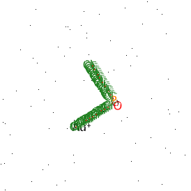 CP1CCOCC1.[Au+].[Cl-].[Cl-].[Cl-].[Cl-].[Cl-].[Cl-].[Cl-].[Cl-].[Cl-].[Cl-].[Cl-].[Cl-].[Cl-].[Cl-].[Cl-].[Cl-].[Cl-].[Cl-].[Cl-].[Cl-].[Cl-].[Cl-].[Cl-].[Cl-].[Cl-].[Cl-].[Cl-].[Cl-].[Cl-].[Cl-].[Cl-].[Cl-].[Cl-].[Cl-].[Cl-].[Cl-].[Cl-].[Cl-].[Cl-].[Cl-].[Cl-]